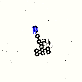 CC1(C)c2cc(-c3ccc(-c4cn5cccnc5n4)cc3)ccc2-c2cc3c(-c4cccc5ccccc45)c4ccccc4c(-c4cccc5ccccc45)c3cc21